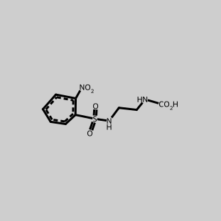 O=C(O)NCCNS(=O)(=O)c1ccccc1[N+](=O)[O-]